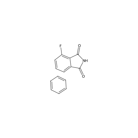 O=C1NC(=O)c2c(F)cccc21.c1ccccc1